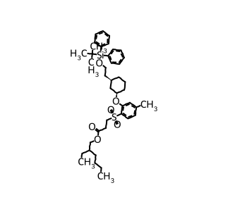 CCCCC(CC)COC(=O)CCS(=O)(=O)c1ccc(C)cc1O[C@@H]1CCC[C@H](CCO[Si](c2ccccc2)(c2ccccc2)C(C)(C)C)C1